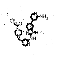 Nc1cc(-c2ccc3nc(Nc4cc(CN5CCN(C(=O)CC(F)(F)F)CC5)ccn4)[nH]c3c2)ccn1